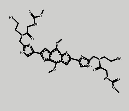 COC(=O)NCC(=O)N(CCS)Cc1nc(-c2cc3c(OC)c4sc(-c5c[nH]c(CN(CCS)C(=O)CNC(=O)OC)n5)cc4c(OC)c3s2)c[nH]1